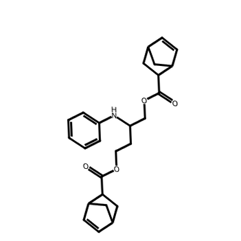 O=C(OCCC(COC(=O)C1CC2C=CC1C2)Nc1ccccc1)C1CC2C=CC1C2